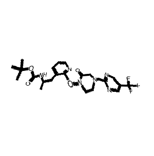 CC(Cc1cccnc1ON1CCN(c2ncc(C(F)(F)F)cn2)CC1=O)NC(=O)OC(C)(C)C